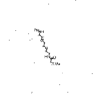 CSCC(=O)NCCOCCOCCNC(C)C